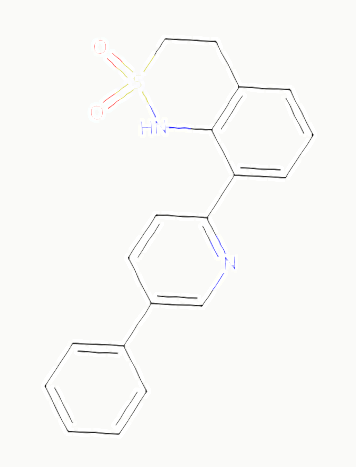 O=S1(=O)CCc2cccc(-c3ccc(-c4ccccc4)cn3)c2N1